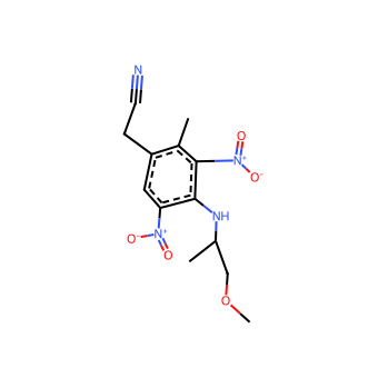 COCC(C)Nc1c([N+](=O)[O-])cc(CC#N)c(C)c1[N+](=O)[O-]